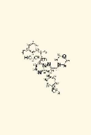 CC(c1cccc(F)c1)[C@@](C)(C(=O)O)c1ccnc2c(-c3ccc(C(F)(F)F)cc3)c(CN3CCOCC3)nn12